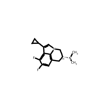 CN(C)[C@@H]1Cc2cc(F)c(F)c3c(C4CC4)cn(c23)C1